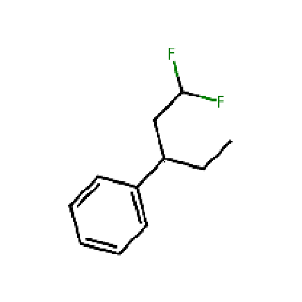 CC[C](CC(F)F)c1ccccc1